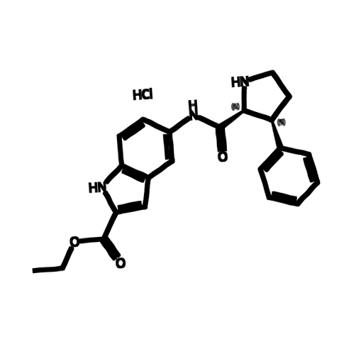 CCOC(=O)c1cc2cc(NC(=O)[C@H]3NCC[C@H]3c3ccccc3)ccc2[nH]1.Cl